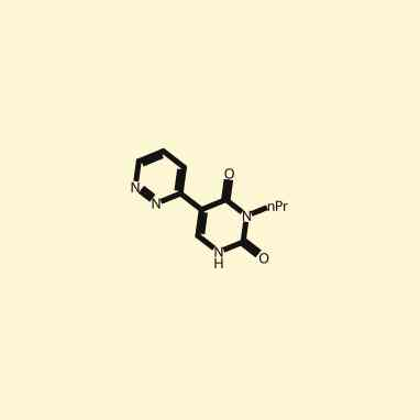 CCCn1c(=O)[nH]cc(-c2cccnn2)c1=O